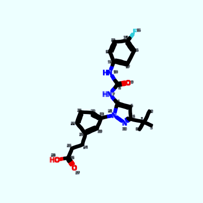 CC(C)(C)c1cc(NC(=O)Nc2ccc(F)cc2)n(-c2cccc(CCC(=O)O)c2)n1